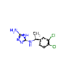 CC(Nc1nnc(N)[nH]1)c1ccc(Cl)c(Cl)c1